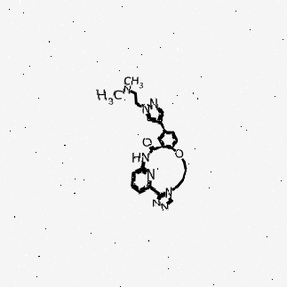 CN(C)CCn1cc(-c2ccc3c(c2)C(=O)Nc2cccc(n2)-c2nncn2CCCCO3)cn1